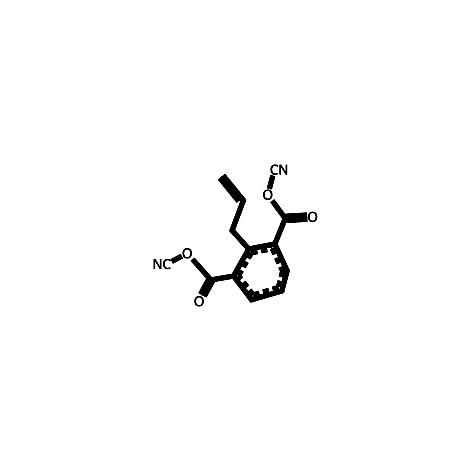 C=CCc1c(C(=O)OC#N)cccc1C(=O)OC#N